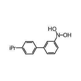 CC(C)c1ccc(-c2cccc(N(O)O)c2)cc1